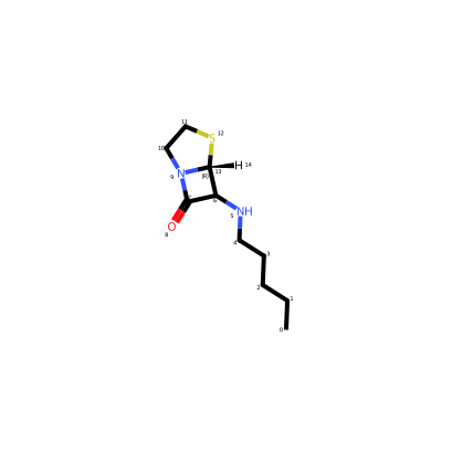 CCCCCNC1C(=O)N2CCS[C@H]12